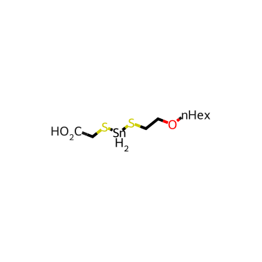 CCCCCCOCC[S][SnH2][S]CC(=O)O